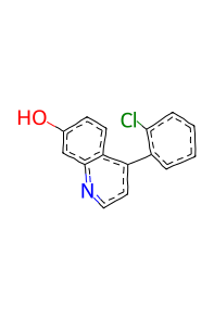 Oc1ccc2c(-c3ccccc3Cl)ccnc2c1